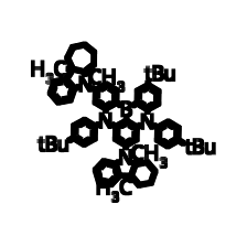 CC(C)(C)c1ccc(N2c3ccc(C(C)(C)C)cc3B3c4ccc(N5c6ccccc6C6(C)CCCCCC56C)cc4N(c4ccc(C(C)(C)C)cc4)c4cc(N5c6ccccc6C6(C)CCCCC56C)cc2c43)cc1